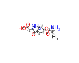 C[C@H](N)C(=O)Oc1ccc(C(=O)[C@H](N)CC(=O)O)cc1